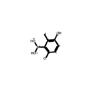 Cc1c(O)ccc(Cl)c1B(O)O